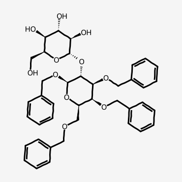 OC[C@@H]1O[C@@H](O[C@H]2[C@H](OCc3ccccc3)O[C@H](COCc3ccccc3)[C@H](OCc3ccccc3)[C@@H]2OCc2ccccc2)[C@H](O)[C@@H](O)[C@@H]1O